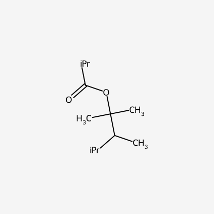 CC(C)C(=O)OC(C)(C)C(C)C(C)C